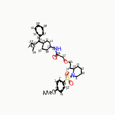 COc1ccc(S(=O)(=O)N2CCCCC2CCOCC(=O)NC2CCC(C(c3ccccc3)[As](C)C)CC2)cc1